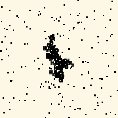 CC(C)C1=C2[C@H]3CC[C@@H]4[C@@]5(C)CC[C@H](OC(=O)[C@H]6C[C@@H](C(=O)OCc7ccccc7)C6(C)C)C(C)(C)[C@@H]5CC[C@@]4(C)[C@]3(C)CC[C@@]2([C@@H](O)CN(CCN(C)C)Cc2ccc(Cl)cc2)CC1=O